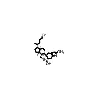 CC(C)CCCC(C)[C@H]1CC[C@H]2[C@H](CN)[C@@H]([C@@]3(C)Cc4sc(N)nc4C[C@@H]3CO)CC[C@]12C